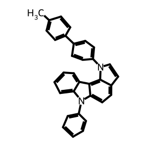 Cc1ccc(-c2ccc(-n3ccc4ccc5c(c6ccccc6n5-c5ccccc5)c43)cc2)cc1